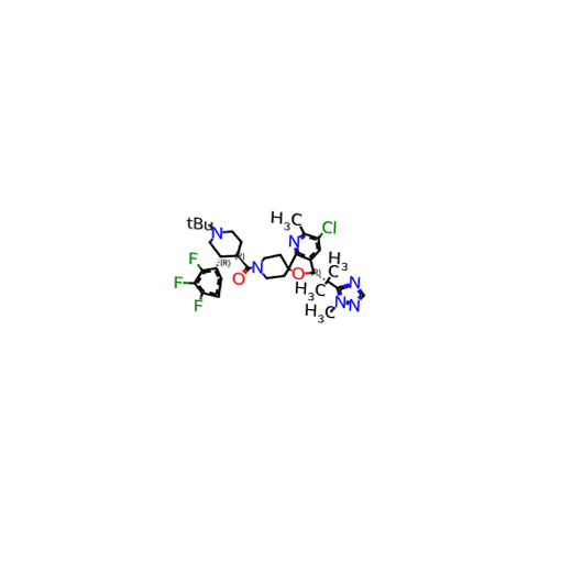 Cc1nc2c(cc1Cl)[C@H](C(C)(C)c1ncnn1C)OC21CCN(C(=O)[C@@H]2CCN(C(C)(C)C)C[C@H]2c2ccc(F)c(F)c2F)CC1